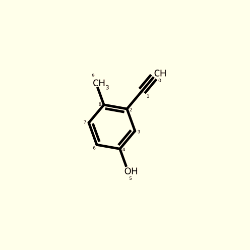 C#Cc1cc(O)ccc1C